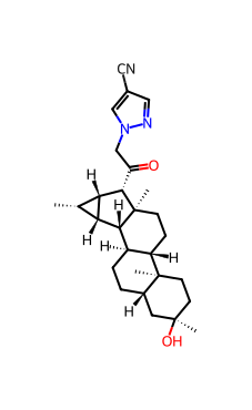 C[C@H]1[C@@H]2[C@H]1[C@H](C(=O)Cn1cc(C#N)cn1)[C@@]1(C)CC[C@H]3[C@@H](CC[C@H]4C[C@](C)(O)CC[C@@]43C)[C@H]21